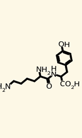 NCCCCC(N)C(=O)NC(Cc1ccc(O)cc1)C(=O)O